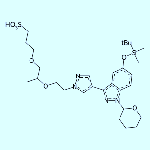 CC(COCCCS(=O)(=O)O)OCCn1cc(-c2nn(C3CCCCO3)c3ccc(O[Si](C)(C)C(C)(C)C)cc23)cn1